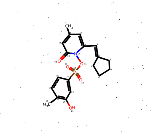 Cc1cc(C=C2CCCC2)n(OS(=O)(=O)c2ccc(C)c(O)c2)c(=O)c1